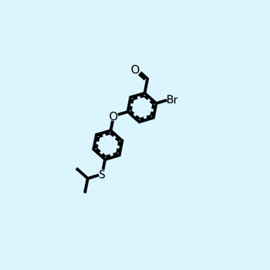 CC(C)Sc1ccc(Oc2ccc(Br)c(C=O)c2)cc1